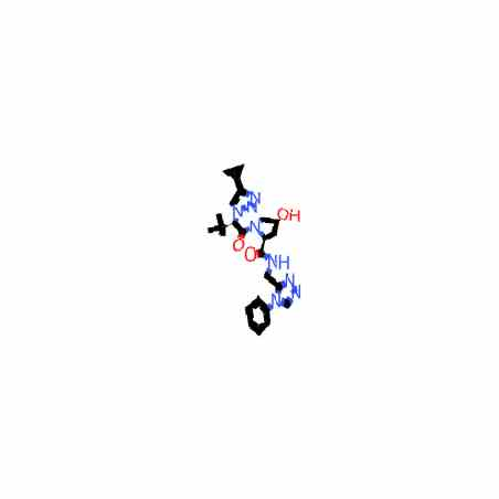 CC(C)(C)[C@@H](C(=O)N1C[C@H](O)C[C@H]1C(=O)NCc1nncn1-c1ccccc1)n1cc(C2CC2)nn1